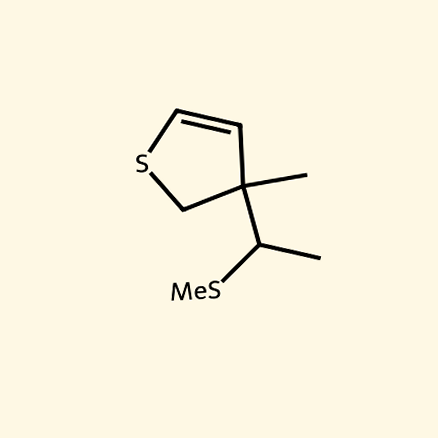 CSC(C)C1(C)C=CSC1